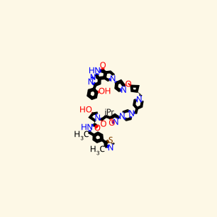 Cc1ncsc1-c1ccc([C@H](C)NC(=O)[C@@H]2C[C@@H](O)CN2C(=O)C(c2cc(N3CCN(CC4CCN(C[C@H]5C[C@H](Oc6cc(N7CCc8c(c9cc(-c%10ccccc%10O)nnc9[nH]c8=O)C7)ccn6)C5)CC4)CC3)no2)C(C)C)cc1